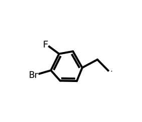 [CH2]Cc1ccc(Br)c(F)c1